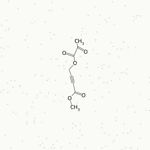 COC(=O)C#CCOC(=O)C(C)=O